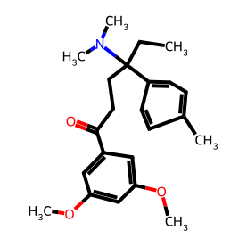 CCC(CCC(=O)c1cc(OC)cc(OC)c1)(c1ccc(C)cc1)N(C)C